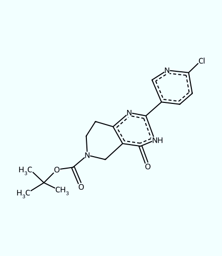 CC(C)(C)OC(=O)N1CCc2nc(-c3ccc(Cl)nc3)[nH]c(=O)c2C1